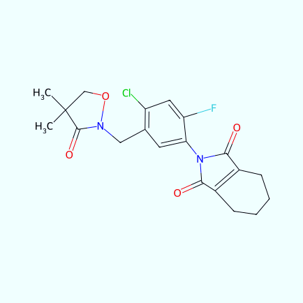 CC1(C)CON(Cc2cc(N3C(=O)C4=C(CCCC4)C3=O)c(F)cc2Cl)C1=O